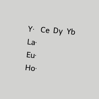 [Ce].[Dy].[Eu].[Ho].[La].[Y].[Yb]